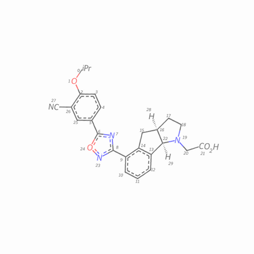 CC(C)Oc1ccc(-c2nc(-c3cccc4c3C[C@H]3CCN(CC(=O)O)[C@@H]43)no2)cc1C#N